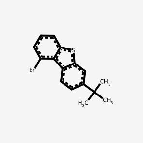 CC(C)(C)c1ccc2c(c1)sc1cccc(Br)c12